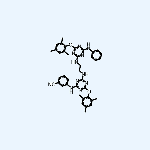 Cc1cc(C)c(Oc2nc(NCCNc3nc(Nc4cccc(C#N)c4)nc(Oc4c(C)cc(C)cc4C)n3)nc(Nc3ccccc3)n2)c(C)c1